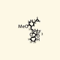 COc1cnc(C2CC2)cc1CNC(=O)[C@](O)(c1ccccc1)C(F)(F)F